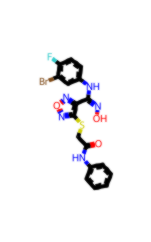 O=C(CSc1nonc1/C(=N\O)Nc1ccc(F)c(Br)c1)Nc1ccccc1